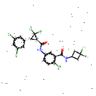 O=C(NC1CC(F)(F)C1)c1cc(NC(=O)[C@H]2[C@H](c3cc(Cl)cc(Cl)c3)C2(Cl)Br)ccc1Cl